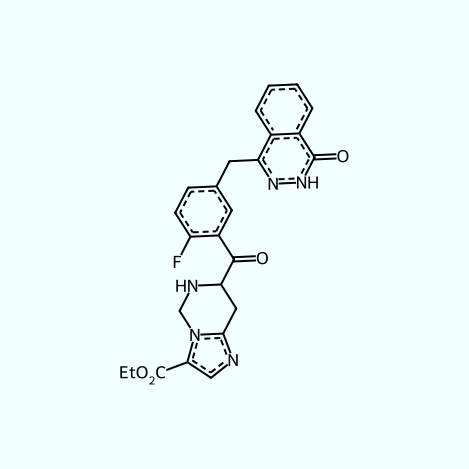 CCOC(=O)c1cnc2n1CNC(C(=O)c1cc(Cc3n[nH]c(=O)c4ccccc34)ccc1F)C2